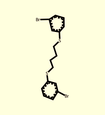 Brc1cccc(SCCCCSc2cccc(Br)c2)c1